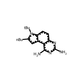 CCCCc1cc2c3c(N)nc(N)nc3ccc2n1C(C)(C)C